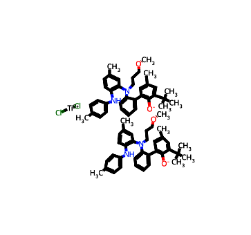 COCCCN(c1cc(C)ccc1Nc1ccc(C)cc1)c1ccccc1-c1cc(C)cc(C(C)(C)C)c1[O-].COCCCN(c1cc(C)ccc1Nc1ccc(C)cc1)c1ccccc1-c1cc(C)cc(C(C)(C)C)c1[O-].[Cl][Ti+2][Cl]